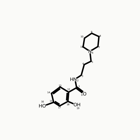 O=C(NCCCN1CCCCC1)c1ccc(O)cc1O